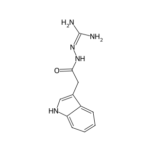 NC(N)=NNC(=O)Cc1c[nH]c2ccccc12